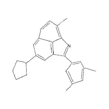 Cc1cc(C)cc(C2=Nc3c(C)ccc4cc(C5CCCC5)cc2c34)c1